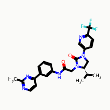 Cc1nccc(-c2cccc(NC(=O)CN3C(=O)N(c4ccc(C(F)(F)F)nc4)C[C@@H]3C(C)C)c2)n1